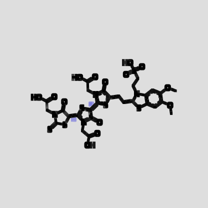 COc1cc2c(cc1OC)N(CCS(=O)(=O)O)C(=CC=c1s/c(=c3/s/c(=C4/SC(=S)N(CC(=O)O)C4=O)n(CC(=O)O)c3=O)n(CC(=O)O)c1=O)S2